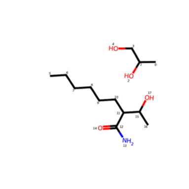 CC(O)CO.CCCCCCC(C(N)=O)C(C)O